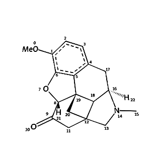 COc1ccc2c3c1O[C@H]1C(=O)CC45CN(C)[C@H](C2)C4[C@@]31C5